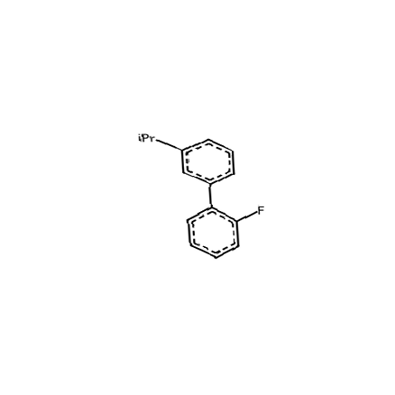 CC(C)c1cccc(-c2ccccc2F)c1